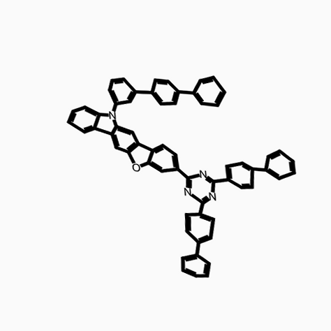 c1ccc(-c2ccc(-c3cccc(-n4c5ccccc5c5cc6oc7cc(-c8nc(-c9ccc(-c%10ccccc%10)cc9)nc(-c9ccc(-c%10ccccc%10)cc9)n8)ccc7c6cc54)c3)cc2)cc1